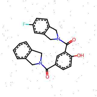 O=C(c1ccc(O)c(C(=O)N2Cc3ccc(F)cc3C2)c1)N1Cc2ccccc2C1